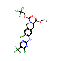 COC(=O)C1Cc2cc(Nc3ncc(C(F)(F)F)c(Cl)n3)c(Cl)cc2CN1C(=O)OCC(Cl)(Cl)Cl